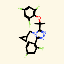 CC(C)(Oc1c(F)cc(F)cc1F)c1nnc(-c2ccc(F)cc2F)n1CC1CC1